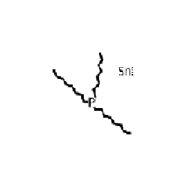 CCCCCCCCP(CCCCCCCC)CCCCCCCC.[Sn]